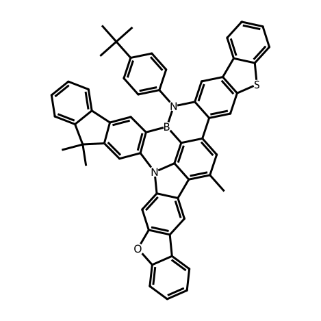 Cc1cc2c3c4c1c1cc5c(cc1n4-c1cc4c(cc1B3N(c1ccc(C(C)(C)C)cc1)c1cc3c(cc1-2)sc1ccccc13)-c1ccccc1C4(C)C)oc1ccccc15